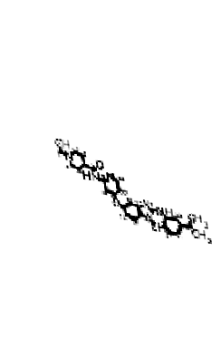 CCN1CCC(C(=O)Nc2cc(Oc3ccc4c(c3)nc(Nc3cccc(C(C)C)c3)n4C)ccn2)CC1